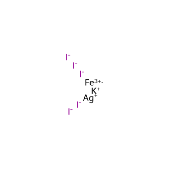 [Ag+].[Fe+3].[I-].[I-].[I-].[I-].[I-].[K+]